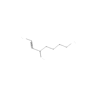 N#CC=CC(C#N)CCCCC#N